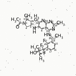 CC(=O)N1C[C@@H](Nc2cc3c(N[C@H](C)c4cccc(C(F)(F)C(C)(C)O)c4F)nc(C)nc3nc2C)C[C@H]1C